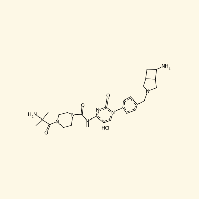 CC(C)(N)C(=O)N1CCN(C(=O)Nc2ccn(-c3ccc(CN4CC5CC(N)C5C4)cc3)c(=O)n2)CC1.Cl